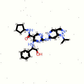 CC(C)n1ncc2cnc(Nc3ncc(C(=O)NC4CCCC4)c(NC(CO)c4ccccc4)n3)cc21